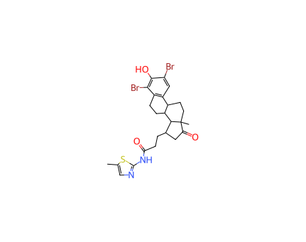 Cc1cnc(NC(=O)CCC2CC(=O)C3(C)CCC4c5cc(Br)c(O)c(Br)c5CCC4C23)s1